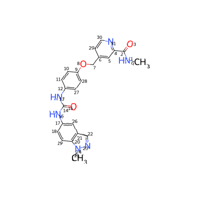 CNC(=O)c1cc(COc2ccc(NC(=O)Nc3ccc4c(cnn4C)c3)cc2)ccn1